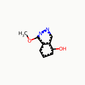 COc1nncc2c(O)cccc12